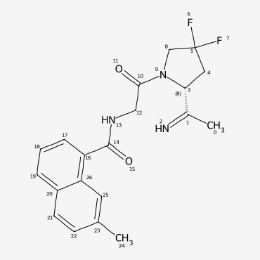 CC(=N)[C@H]1CC(F)(F)CN1C(=O)CNC(=O)c1cccc2ccc(C)cc12